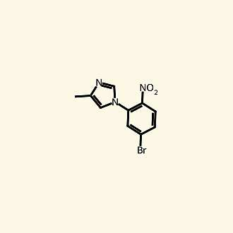 Cc1cn(-c2cc(Br)ccc2[N+](=O)[O-])cn1